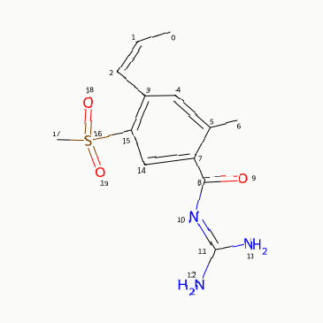 C/C=C\c1cc(C)c(C(=O)N=C(N)N)cc1S(C)(=O)=O